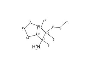 CCCC(C)(CC)C(C)(N)C1CCCC1